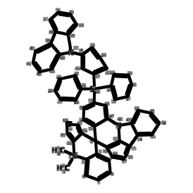 C[Si]1(C)c2ccccc2C2(c3ccc([Si](c4ccccc4)(c4ccccc4)c4cccc(-n5c6ccccc6c6ccccc65)c4)cc3-n3c4ccccc4c4cccc2c43)c2ccccc21